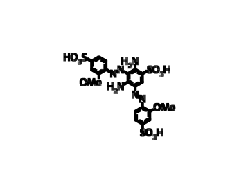 COc1cc(S(=O)(=O)O)ccc1N=Nc1cc(S(=O)(=O)O)c(N)c(N=Nc2ccc(S(=O)(=O)O)cc2OC)c1N